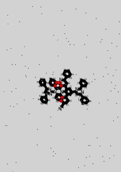 N#Cc1ccc(-c2cc(-c3cc(-c4ccccc4)nc(-c4ccccc4)n3)cc(-c3cc(-c4ccccc4)nc(-c4ccccc4)n3)c2N2c3ccccc3N(c3nc(-c4ccccc4)cc(-c4ccccc4)n3)c3ccccc32)cc1